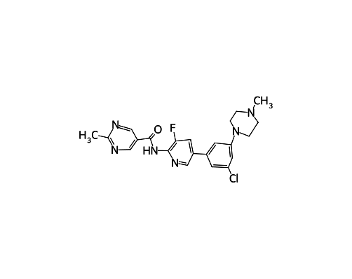 Cc1ncc(C(=O)Nc2ncc(-c3cc(Cl)cc(N4CCN(C)CC4)c3)cc2F)cn1